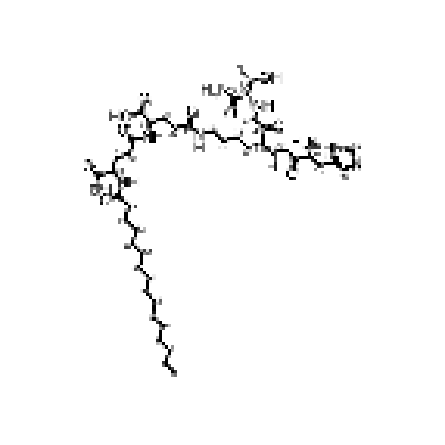 CCCCCCCCCCCCCCCC(=O)NC(CCC(=O)NC(CCC(=O)NCCCC[C@H](NCC(=O)[C@@H](N)Cc1cnc[nH]1)C(=O)CN[C@H](C(N)=O)[C@@H](C)O)C(=O)O)C(=O)O